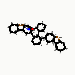 N#Cc1ccccc1-c1c(-c2ccc3sc4ccccc4c3c2)cccc1-c1ccc2sc3ccccc3c2c1